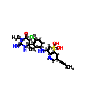 CC#Cc1cnc2c(c1)S(O)(O)C=C2Nc1ccc(Cl)c(C2(C)CC(=O)N(C)C(=N)N2)c1